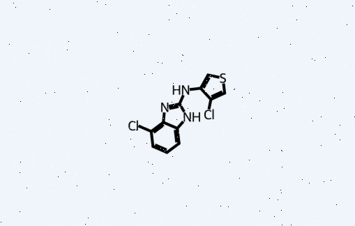 Clc1cscc1Nc1nc2c(Cl)cccc2[nH]1